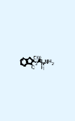 CC1(SC(=O)NN)Cc2ccccc2C1=O